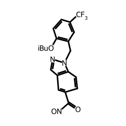 CC(C)COc1ccc(C(F)(F)F)cc1Cn1ncc2cc(C(=O)N=O)ccc21